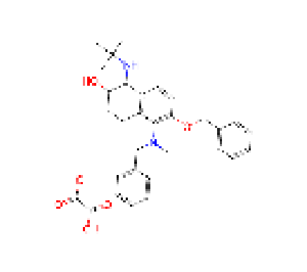 CN(Cc1ccccc1)c1c(OCc2ccccc2)ccc2c1CCC(O)C2NC(C)(C)C.O=C(O)C(=O)O